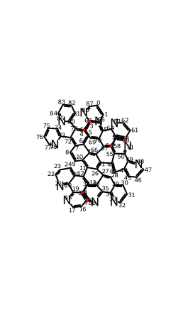 c1ccc(-c2cc3c(ccc4c(-c5cc6cccnc6c6ncccc56)c(-c5cc6cccnc6c6ncccc56)c(-c5cc6cccnc6c6ncccc56)c(-c5cc6cccnc6c6ncccc56)c43)c(-c3ccccn3)c2-c2ccccn2)nc1